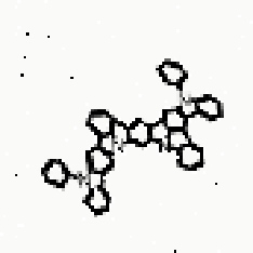 c1ccc(-n2c3ccccc3c3cc4c(cc32)c2cccc3c5cc6c7cc8c(c9ccccc9n8-c8ccccc8)c8c9ccccc9n(c6cc5n4c23)c78)cc1